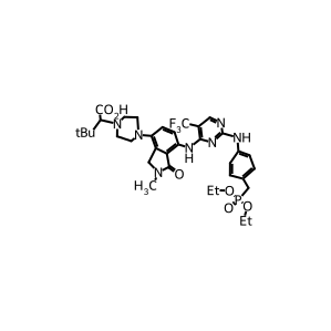 CCOP(=O)(Cc1ccc(Nc2ncc(C(F)(F)F)c(Nc3ccc(N4CCN(C(C(=O)O)C(C)(C)C)CC4)c4c3C(=O)N(C)C4)n2)cc1)OCC